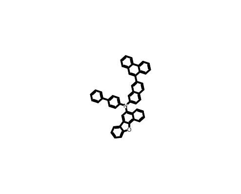 c1ccc(-c2ccc(N(c3ccc4ccc(-c5cc6ccccc6c6ccccc56)cc4c3)c3cc4c5ccccc5oc4c4ccccc34)cc2)cc1